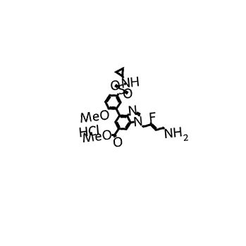 COC(=O)c1cc(-c2cc(S(=O)(=O)NC3CC3)ccc2OC)c2ncn(CC(F)=CCN)c2c1.Cl